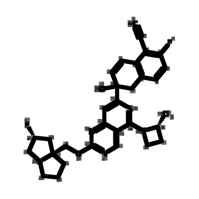 C#Cc1c(F)ccc2c1C=CC(O)(c1cc3nc(OC[C@@]45CCCN4C[C@H](F)C5)ncc3c(N3CC[C@H]3C(F)(F)F)n1)C2